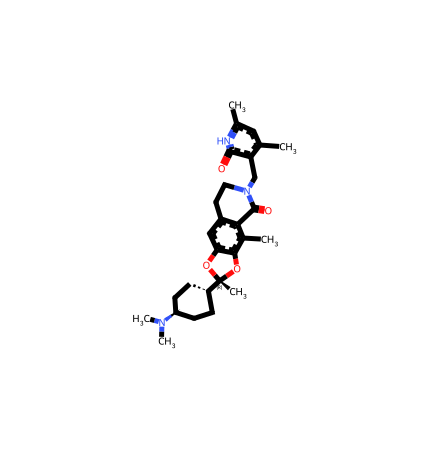 Cc1cc(C)c(CN2CCc3cc4c(c(C)c3C2=O)O[C@](C)([C@H]2CC[C@H](N(C)C)CC2)O4)c(=O)[nH]1